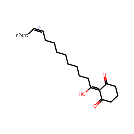 CCCCC/C=C\CCCCCCCCC(O)=C1C(=O)CCCC1=O